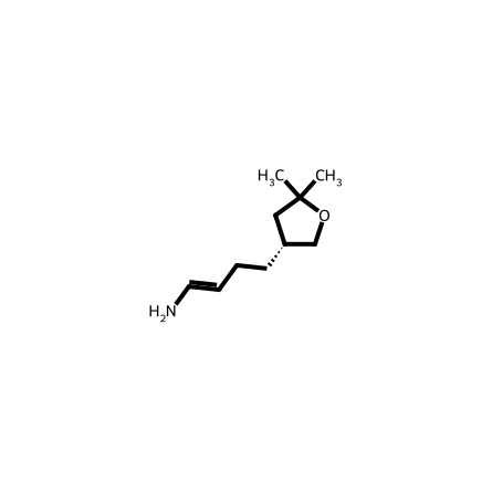 CC1(C)C[C@@H](CCC=CN)CO1